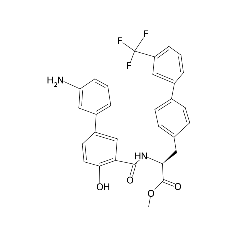 COC(=O)[C@H](Cc1ccc(-c2cccc(C(F)(F)F)c2)cc1)NC(=O)c1cc(-c2cccc(N)c2)ccc1O